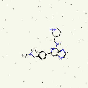 CN(C)Cc1ccc(-c2cc3nccnc3c(NCC3CCCNC3)n2)cc1